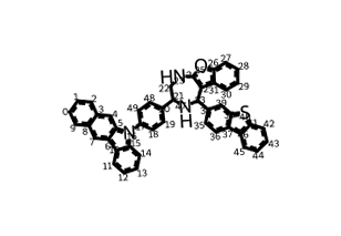 c1ccc2cc3c(cc2c1)c1ccccc1n3-c1ccc(C2CNc3oc4ccccc4c3C(c3ccc4c(c3)sc3ccccc34)N2)cc1